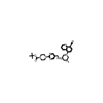 C[C@H]1C[C@@H](NCc2cnc(N3CCN(C(=O)OC(C)(C)C)CC3)nc2)CN(c2ccc(C#N)c3ncccc23)C1